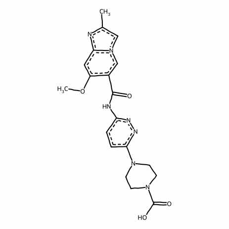 COc1cc2nc(C)cn2cc1C(=O)Nc1ccc(N2CCN(C(=O)O)CC2)nn1